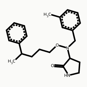 Cc1cccc(CN(OCCCC(C)c2ccccc2)C2CCNC2=O)c1